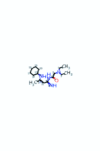 CCN(CC)CC(=O)NC(=N)/C=C(/C)NC1CCCCC1